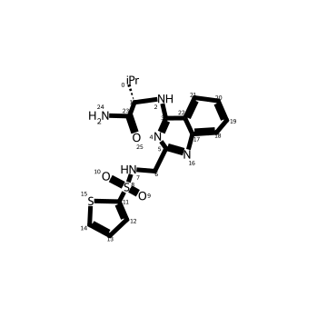 CC(C)[C@H](Nc1nc(CNS(=O)(=O)c2cccs2)nc2ccccc12)C(N)=O